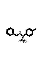 Cc1ccc(N(NCc2ccccc2)[SH](=O)=O)cc1